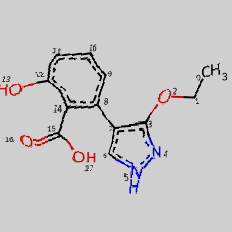 CCOc1n[nH]cc1-c1cccc(O)c1C(=O)O